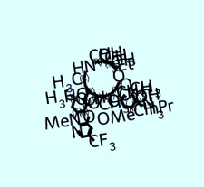 CCCNC[C@]1(O)[C@H](C)O[C@@H](O[C@H]2[C@H](C)[C@@H](O[C@@H]3O[C@H](C)C[C@H](NC)[C@H]3Oc3cncc(C(F)(F)F)c3)[C@](C)(O)C[C@@H](C)CN[C@H](C)[C@@H](O)[C@](C)(O)[C@@H](CC)OC(=O)[C@@H]2C)C[C@@]1(C)OC